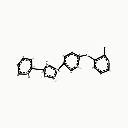 Cc1ncccc1Oc1ccc(-n2nnc(-c3ccccn3)n2)cn1